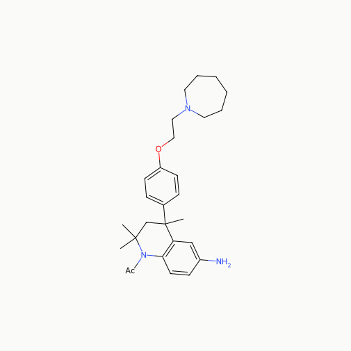 CC(=O)N1c2ccc(N)cc2C(C)(c2ccc(OCCN3CCCCCC3)cc2)CC1(C)C